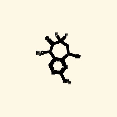 CC(C)N1CC(F)(F)C(=O)N(C)c2cnc(N)nc21